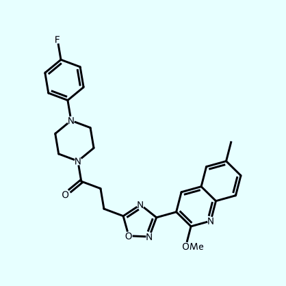 COc1nc2ccc(C)cc2cc1-c1noc(CCC(=O)N2CCN(c3ccc(F)cc3)CC2)n1